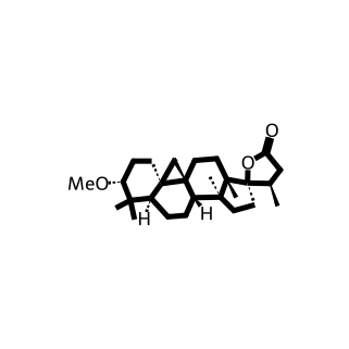 CO[C@@H]1CC[C@]23C[C@]24CC[C@@]2(C)[C@@](C)(CC[C@@]25OC(=O)C[C@H]5C)[C@@H]4CC[C@H]3C1(C)C